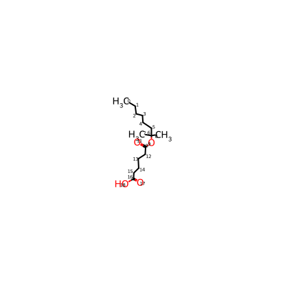 CCCCCCC(C)(C)OC(=O)CCCCC(=O)O